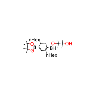 CCCCCCc1cc(B2OC(C)(C)C(C)(C)O2)c(CCCCCC)cc1BOC(C)(C)C(C)(C)O